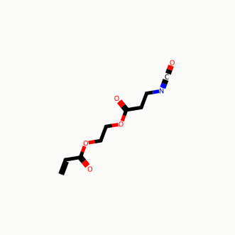 C=CC(=O)OCCOC(=O)CCN=C=O